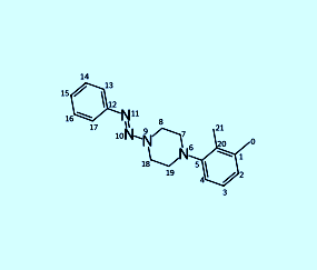 Cc1cccc(N2CCN(N=Nc3ccccc3)CC2)c1C